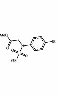 CCCCS(=O)(=O)N(CC(=O)OC)c1ccc(CC)cc1